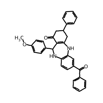 COc1ccc(C2Nc3ccc(C(=O)c4ccccc4)cc3NC3=C2C(=O)CC(c2ccccc2)C3)cc1